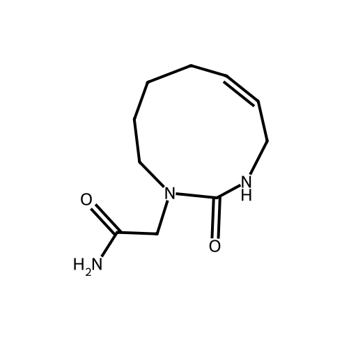 NC(=O)CN1CCCC/C=C\CNC1=O